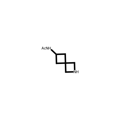 CC(=O)NC1CC2(CNC2)C1